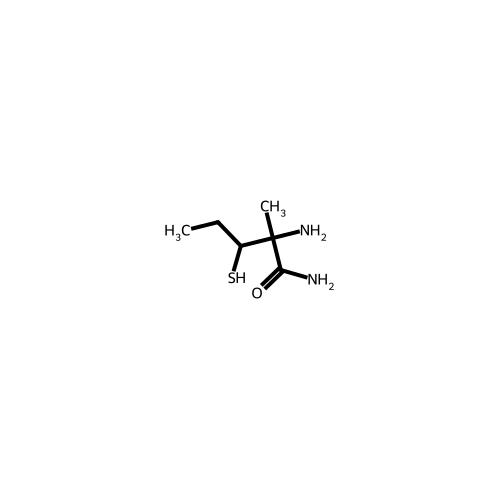 CCC(S)C(C)(N)C(N)=O